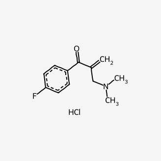 C=C(CN(C)C)C(=O)c1ccc(F)cc1.Cl